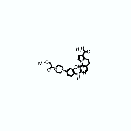 COCC(=O)N1CCN(c2ccc(Nc3ncc4c(n3)-n3ccc(C(N)=O)c3CC4)c(OC)c2)CC1